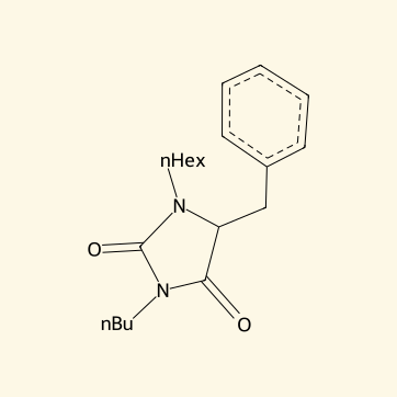 CCCCCCN1C(=O)N(CCCC)C(=O)C1Cc1ccccc1